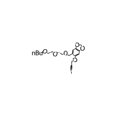 CC#CCOc1cc2c(cc1COCCOCCOCCCC)OCO2